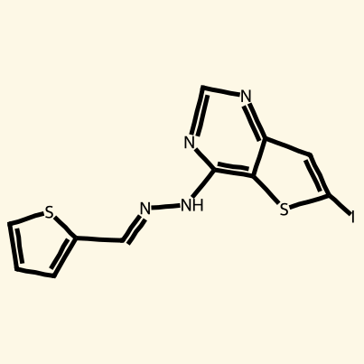 Ic1cc2ncnc(NN=Cc3cccs3)c2s1